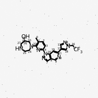 Cc1ccc(-n2ncc3cnc(-c4cnn(CC(F)(F)F)c4)cc32)nc1N1CCNC[C@H](O)C1